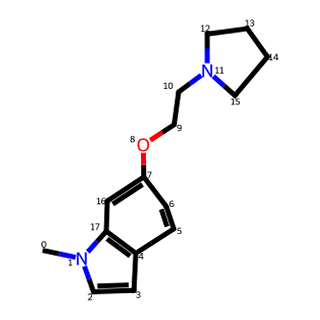 Cn1ccc2ccc(OCCN3CCCC3)cc21